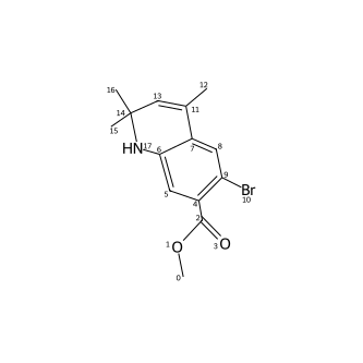 COC(=O)c1cc2c(cc1Br)C(C)=CC(C)(C)N2